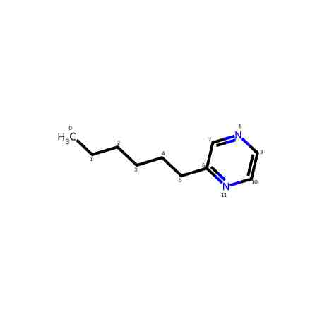 CCCCCCc1cn[c]cn1